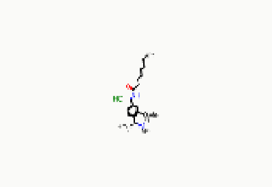 CCCN(CC)C(C(=O)O)c1ccc(CNC(=O)CCCCC=CC(C)C)cc1OC.Cl